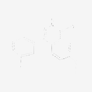 COc1ccc2c(-c3cccc(C)c3)n[nH]c(=O)c2c1